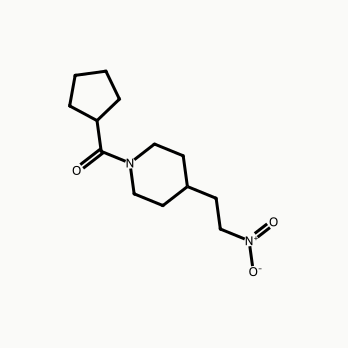 O=C(C1CCCC1)N1CCC(CC[N+](=O)[O-])CC1